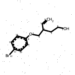 C=CC(CCO)COc1ccc(Br)cc1